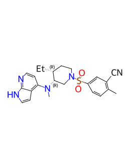 CC[C@@H]1CCN(S(=O)(=O)c2ccc(C)c(C#N)c2)C[C@@H]1N(C)c1ccnc2[nH]ccc12